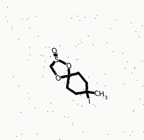 CC1(I)CCC2(CC1)OCS(=O)O2